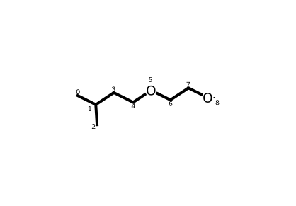 CC(C)CCOCC[O]